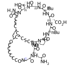 CCCC[C@@H]1NC(=O)[C@@H]2CCCN2C(=O)[C@@H]2CSCc3cc(cc(c3)OCCCCCCO/N=C/C(=O)N[C@@H](CCC(N)=O)C(=O)N2)CSC[C@@H](C(N)=O)NC(=O)[C@H]([C@@H](C)O)NC(=O)[C@H](C)NC(=O)[C@H]([C@@H](C)CC)NC(=O)[C@H](CC(=O)O)NC1=O